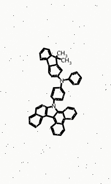 CC1(C)c2ccccc2-c2ccc(N(c3ccccc3)c3ccc(-n4c5ccc6ccccc6c5c5c6ccccc6c6ccccc6c54)cc3)cc21